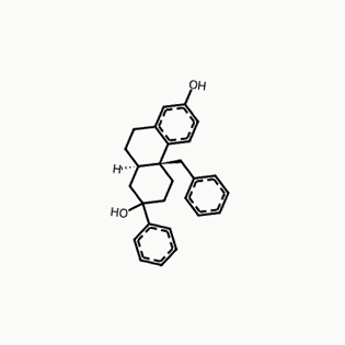 Oc1ccc2c(c1)CC[C@@H]1CC(O)(c3ccccc3)CC[C@@]21Cc1ccccc1